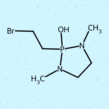 CN1CCN(C)[P]1(O)CCBr